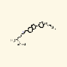 C=CCOc1ccc(-c2ccc3cc(/C=C/CCCC(C)OCCCCC)ccc3c2)cn1